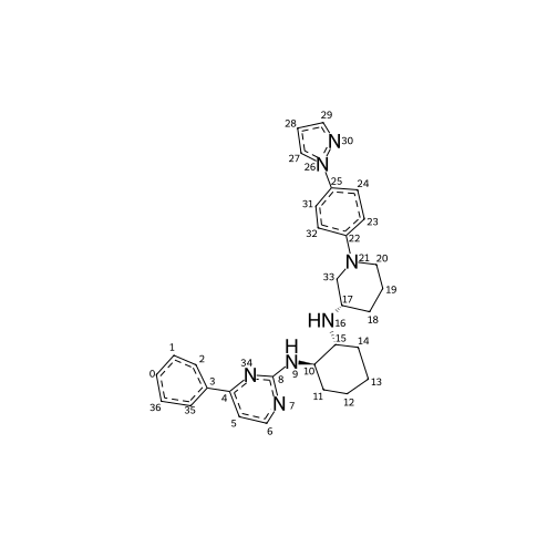 c1ccc(-c2ccnc(N[C@@H]3CCCC[C@H]3N[C@H]3CCCN(c4ccc(-n5cccn5)cc4)C3)n2)cc1